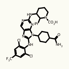 CC(C)C1C(Nc2ncc3nc(Nc4c(Cl)cc(C(F)(F)F)cc4Cl)n(C4CCC(C(N)=O)CC4)c3n2)CCCN1C(=O)O